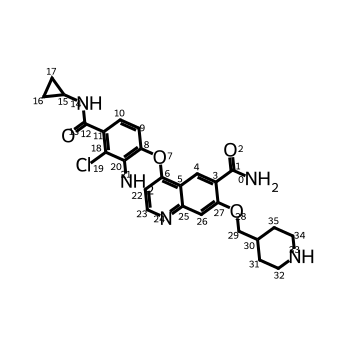 NC(=O)c1cc2c(Oc3ccc(C(=O)NC4CC4)c(Cl)c3N)ccnc2cc1OCC1CCNCC1